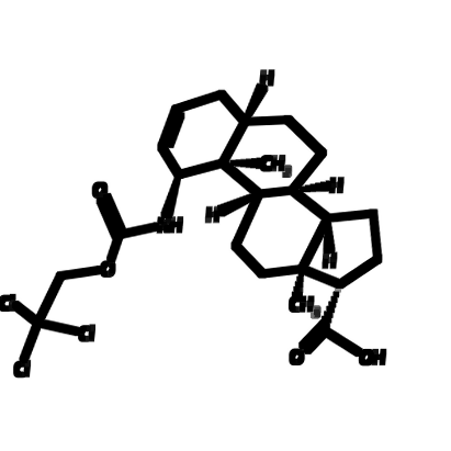 C[C@]12CC[C@H]3[C@@H](CC[C@H]4CC=C[C@H](NC(=O)OCC(Cl)(Cl)Cl)[C@@]43C)[C@@H]1CC[C@@H]2C(=O)O